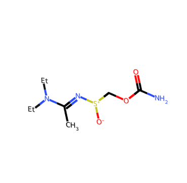 CCN(CC)C(C)=N[S+]([O-])COC(N)=O